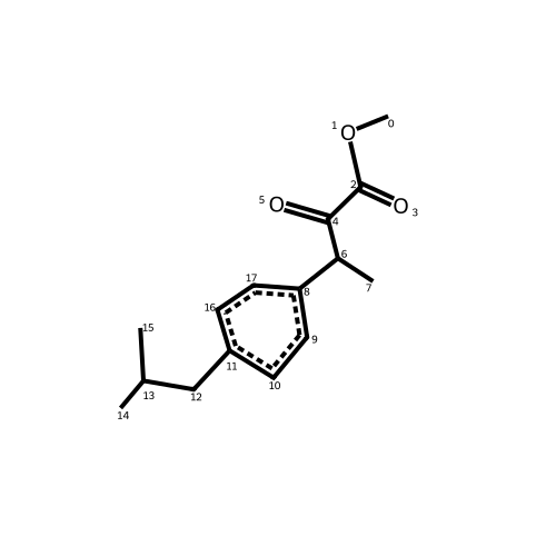 COC(=O)C(=O)C(C)c1ccc(CC(C)C)cc1